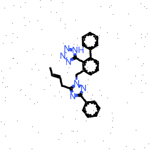 CC=CCc1nc(-c2ccccc2)nn1Cc1cccc(-c2ccccc2)c1-c1nnn[nH]1